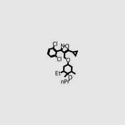 CCCOC1(C)C(C)CC(OCc2c(-c3c(Cl)cccc3Cl)noc2C2CC2)CC1CC